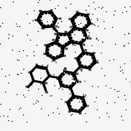 CC1CC=CC(c2cc(-c3ccccc3)nc(-c3cccc(-c4nc5ccccc5c5c4c4ccccc4n5-c4ccccc4)c3)n2)C1C